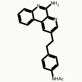 CC(=O)Nc1ccc(CCc2cnc3c(N)nc4ccccc4c3c2)cc1